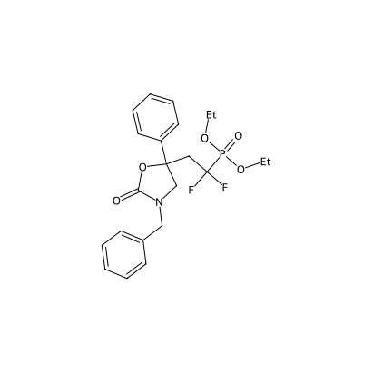 CCOP(=O)(OCC)C(F)(F)CC1(c2ccccc2)CN(Cc2ccccc2)C(=O)O1